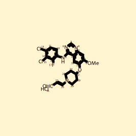 COc1cc2ncnc(Nc3ccc(Cl)c(Cl)c3F)c2cc1OC1CCN(C=CC=O)CC1.Cl